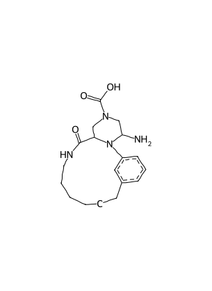 NC1CN(C(=O)O)CC2C(=O)NCCCCCCc3cccc(c3)N12